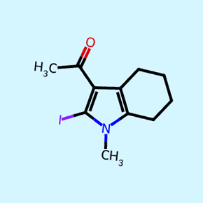 CC(=O)c1c2c(n(C)c1I)CCCC2